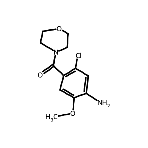 COc1cc(C(=O)N2CCOCC2)c(Cl)cc1N